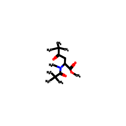 COC(=O)C(CC(=O)C(C)(C)C)N(C)C(=O)C(C)(C)C